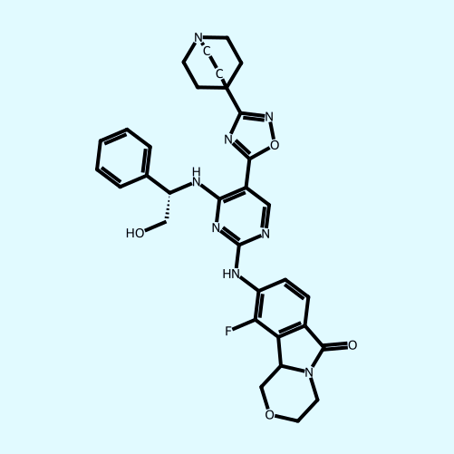 O=C1c2ccc(Nc3ncc(-c4nc(C56CCN(CC5)CC6)no4)c(N[C@H](CO)c4ccccc4)n3)c(F)c2C2COCCN12